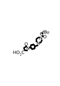 CC(C)(C)OC(=O)N1CCCN(Cc2ccc(N3CC(C(=O)O)CC3=O)cc2)CC1